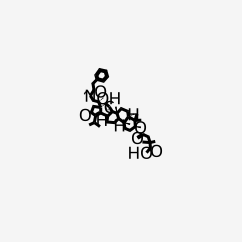 CC(C)C1=C2[C@H]3CC[C@@H]4[C@@]5(C)CC[C@H](OC(=O)CC(C)(C)C(=O)O)C(C)(C)[C@@H]5CC[C@@]4(C)[C@]3(C)CC[C@@]2([C@@H](O)CN(C)C(=O)Cc2ccccc2)CC1=O